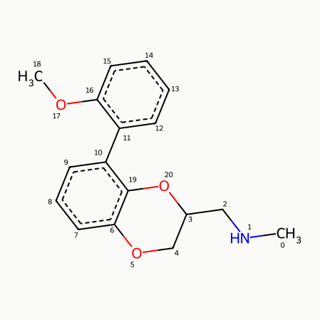 CNCC1COc2cccc(-c3ccccc3OC)c2O1